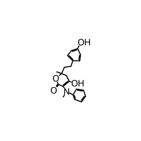 CN(C1=C(O)CC(C)(CCc2ccc(O)cc2)OC1=O)c1ccccc1